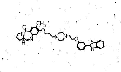 Cc1cc2c(cc1OCCCN1CCN(CCOc3cccc(-c4nc5ccccc5s4)c3)CC1)N=C[C@@H]1CCCN1C2=O